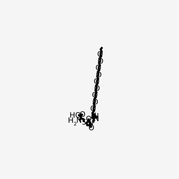 CCCOCCOCCOCCOCCOCCOCCOCCOCCOCCn1cc(CN2C(=O)CC(SCC(N)C(=O)O)C2=O)nn1